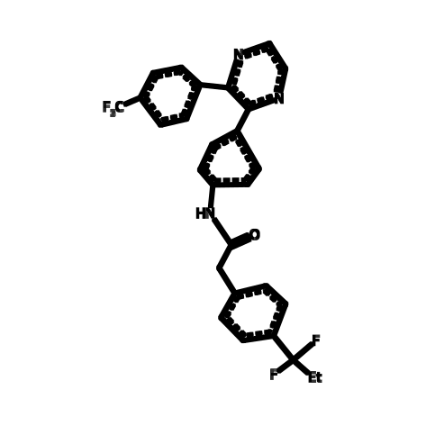 CCC(F)(F)c1ccc(CC(=O)Nc2ccc(-c3nccnc3-c3ccc(C(F)(F)F)cc3)cc2)cc1